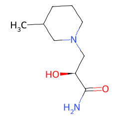 CC1CCCN(C[C@H](O)C(N)=O)C1